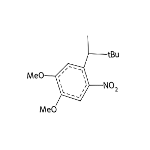 COc1cc(C(C)C(C)(C)C)c([N+](=O)[O-])cc1OC